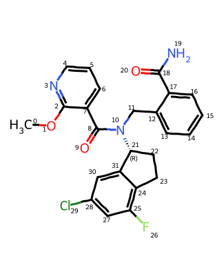 COc1ncccc1C(=O)N(Cc1ccccc1C(N)=O)[C@@H]1CCc2c(F)cc(Cl)cc21